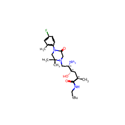 Cc1cc(F)ccc1N1CC(C)(C)N(C[C@H](N)[C@@H](O)C[C@@H](C)C(=O)NCC(C)(C)C)CC1=O